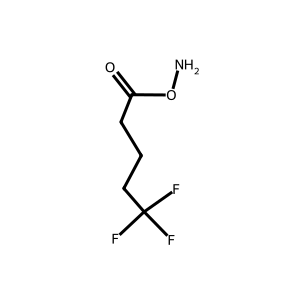 NOC(=O)CCCC(F)(F)F